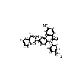 C[C@H](NC(=O)c1ccc2c(c1)c1cc(C#N)ccc1c(=O)n2-c1ccc(C(F)(F)F)cc1)c1ccccn1